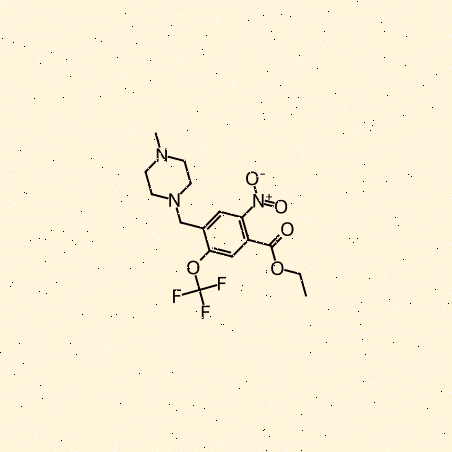 CCOC(=O)c1cc(OC(F)(F)F)c(CN2CCN(C)CC2)cc1[N+](=O)[O-]